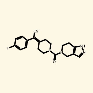 N#CC(=C1CCN(C(=O)N2CCc3[nH]ncc3C2)CC1)c1ccc(F)cc1